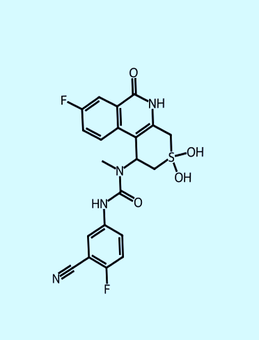 CN(C(=O)Nc1ccc(F)c(C#N)c1)C1CS(O)(O)Cc2[nH]c(=O)c3cc(F)ccc3c21